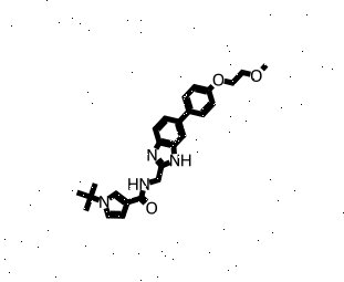 COCCOc1ccc(-c2ccc3nc(CNC(=O)c4ccn(C(C)(C)C)c4)[nH]c3c2)cc1